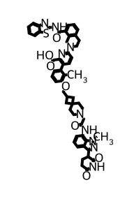 Cc1c(OCC2CC3(CCN(CC(=O)Nc4cccc5c(C6CCC(=O)NC6=O)nn(C)c45)CC3)C2)cccc1-c1ccc(N2CCc3cccc(C(=O)Nc4nc5ccccc5s4)c3C2)nc1C(=O)O